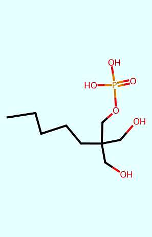 CCCCCC(CO)(CO)COP(=O)(O)O